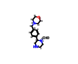 O=CN1CCNCC1c1ccc(CN2CCOCC2)cc1